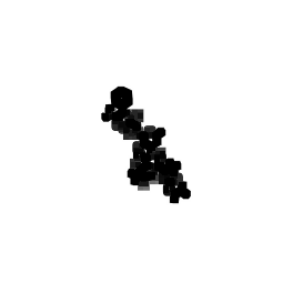 CCC[C@@H](NC(=O)[C@@H]1[C@@H]2[C@H](CN1C(=O)[C@@H](NC(=O)OC(C)C(C)C)C(C)(C)C)C2(C)C)C(=O)C(=O)NCC(=O)N[C@H](C(=O)N(C)C)c1ccccc1